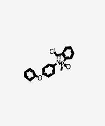 CP(=O)(Nc1ccc(Oc2ccccc2)cc1)c1ccccc1CCl